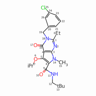 CCc1nc2c(c(OC(C)C)c(C(=O)NCC(C)(C)C)n2C)c(=O)n1Cc1cccc(Cl)c1